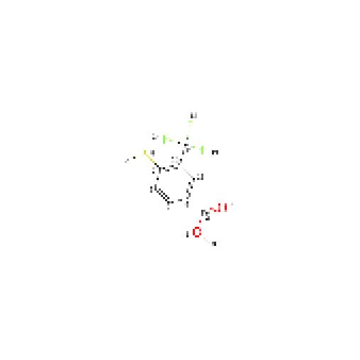 COC(=O)c1ccc(SC)c(C(F)(F)F)c1